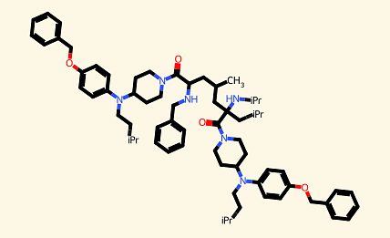 CC(C)CCN(c1ccc(OCc2ccccc2)cc1)C1CCN(C(=O)C(CC(C)CC(CC(C)C)(NC(C)C)C(=O)N2CCC(N(CCC(C)C)c3ccc(OCc4ccccc4)cc3)CC2)NCc2ccccc2)CC1